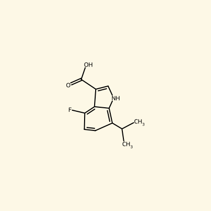 CC(C)c1ccc(F)c2c(C(=O)O)c[nH]c12